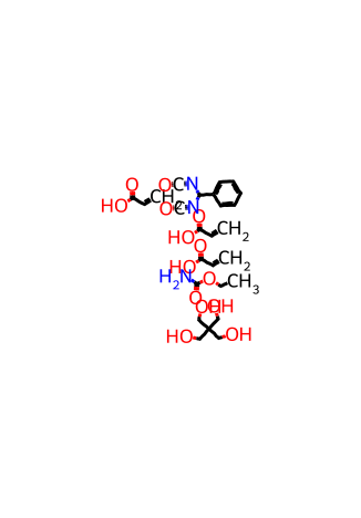 C=CC(=O)O.C=CC(=O)O.C=CC(=O)O.CCOC(N)=O.O=C=NC(N=C=O)c1ccccc1.OCC(CO)(CO)CO